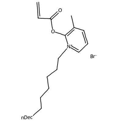 C=CC(=O)Oc1c(C)ccc[n+]1CCCCCCCCCCCCCCCC.[Br-]